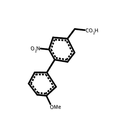 COc1cccc(-c2ccc(CC(=O)O)cc2[N+](=O)[O-])c1